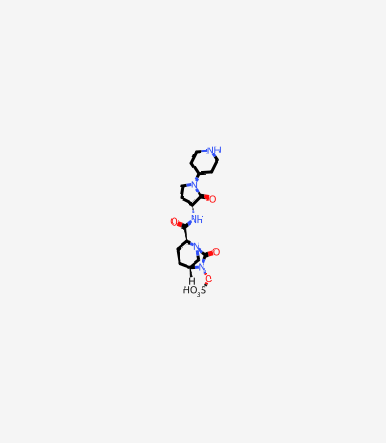 O=C(N[C@@H]1CCN(C2CCNCC2)C1=O)[C@@H]1CC[C@@H]2CN1C(=O)N2OS(=O)(=O)O